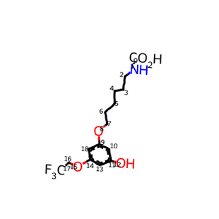 O=C(O)NCCCCCCOc1cc(O)cc(OCC(F)(F)F)c1